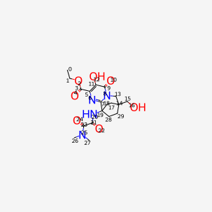 CCOC(=O)c1nc2n(c(=O)c1O)CC1(CO)CCC2(NC(=O)C(=O)N(C)C)CC1